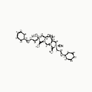 O=C1N(CN2C(=O)[N+](O)(CCOC3CCCCC3)CC2O)C(O)C[N+]1(O)CCOC1CCCCC1